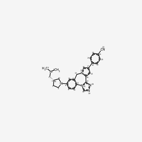 CN(C)C[C@H]1CCN(c2ccc3c(c2)Cn2cc(-c4ccc(C#N)cc4)cc2-c2nncn2-3)C1